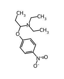 CCC(Oc1ccc([N+](=O)[O-])cc1)N(CC)CC